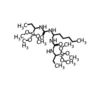 CCCCCC(NC(=O)NC(CC)[Si](OC)(OC)OC)NC(=O)NC(CC)[Si](OC)(OC)OC